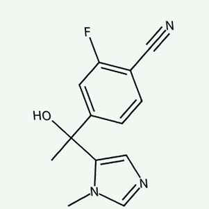 Cn1cncc1C(C)(O)c1ccc(C#N)c(F)c1